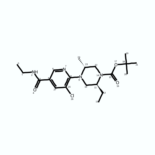 CCNC(=O)c1cnc(N2C[C@H](CC)N(C(=O)OC(C)(C)C)C[C@H]2C)c(Cl)c1